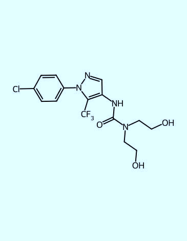 O=C(Nc1cnn(-c2ccc(Cl)cc2)c1C(F)(F)F)N(CCO)CCO